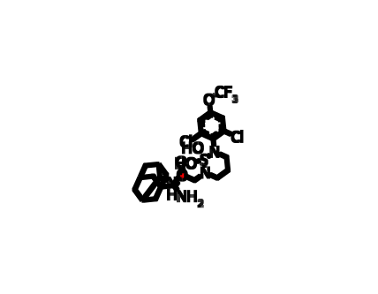 NC(=O)C12CC3CC(C1)C(NC(=O)CN1CCCN(c4c(Cl)cc(OC(F)(F)F)cc4Cl)S1(O)O)C(C3)C2